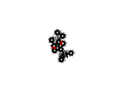 c1ccc(-c2nc(-c3cc(-c4ccccc4)c(-n4c5ccc(Nc6ccccc6-c6ccccc6)cc5c5c(-c6ccccc6)cccc54)c(-c4ccccc4)c3)c3oc4ccccc4c3n2)cc1